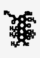 CC(=O)C1=C(C)CC2(C)CC3(C)Cc4c(C(=O)CCC(C)C)cc(C(C)(C)C)c(C)c4C(=O)C3=C(C)C2(C)C1=O